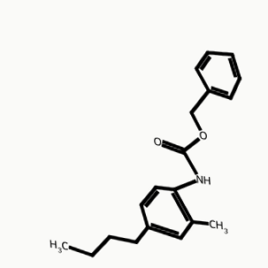 CCCCc1ccc(NC(=O)OCc2ccccc2)c(C)c1